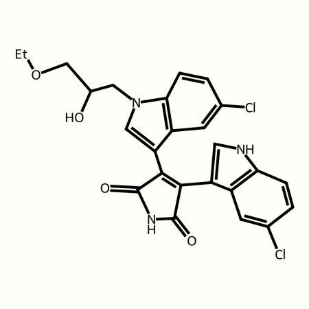 CCOCC(O)Cn1cc(C2=C(c3c[nH]c4ccc(Cl)cc34)C(=O)NC2=O)c2cc(Cl)ccc21